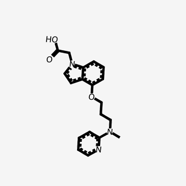 CN(CCCOc1cccc2c1ccn2CC(=O)O)c1ccccn1